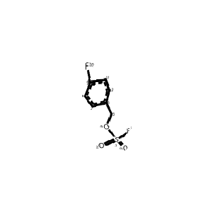 O=S(=O)(F)OCc1ccc(F)cc1